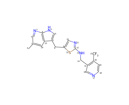 Cc1cnc2[nH]cc(Cc3cnc(NCc4cnccc4C(F)(F)F)s3)c2c1